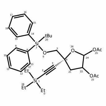 CC[Si](C#C[C@@]1(CO[Si](c2ccccc2)(c2ccccc2)C(C)(C)C)CC(OC(C)=O)C(OC(C)=O)O1)(CC)CC